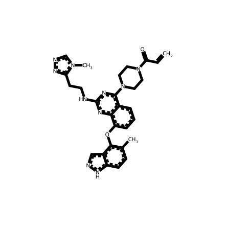 C=CC(=O)N1CCN(c2nc(NCCc3nncn3C)nc3c(Oc4c(C)ccc5[nH]ncc45)cccc23)CC1